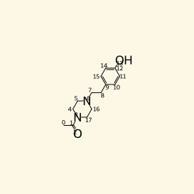 CC(=O)N1CCN(CCc2ccc(O)cc2)CC1